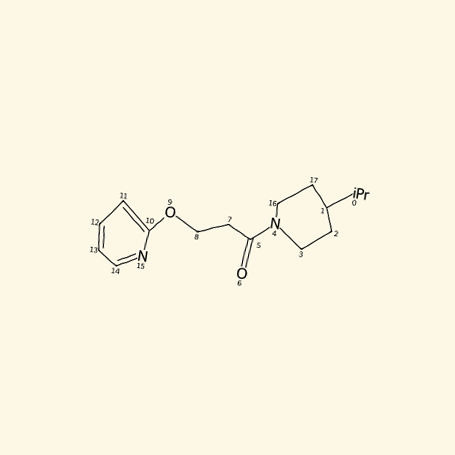 CC(C)C1CCN(C(=O)CCOc2ccccn2)CC1